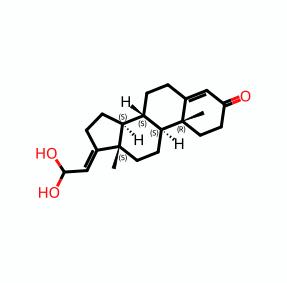 C[C@]12CCC(=O)C=C1CC[C@@H]1[C@@H]2CC[C@]2(C)C(=CC(O)O)CC[C@@H]12